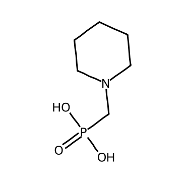 O=P(O)(O)CN1CCCCC1